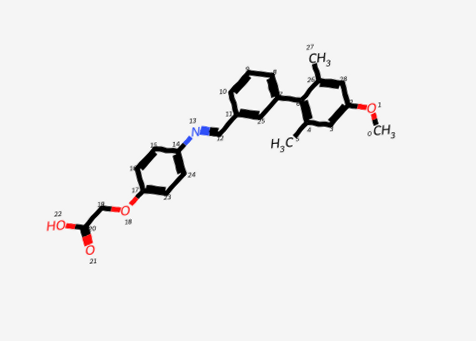 COc1cc(C)c(-c2cccc(C=Nc3ccc(OCC(=O)O)cc3)c2)c(C)c1